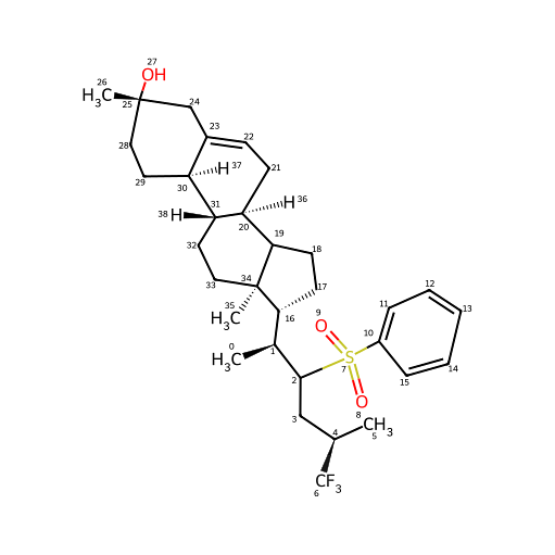 C[C@H](C(C[C@@H](C)C(F)(F)F)S(=O)(=O)c1ccccc1)[C@H]1CCC2[C@@H]3CC=C4C[C@@](C)(O)CC[C@@H]4[C@H]3CC[C@@]21C